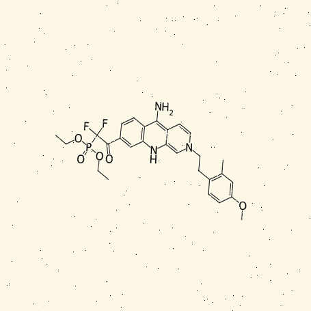 CCOP(=O)(OCC)C(F)(F)C(=O)c1ccc2c(c1)NC1=CN(CCc3ccc(OC)cc3C)C=CC1=C2N